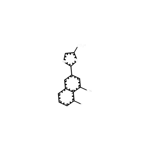 N#Cc1cc(-c2ncc(C(=O)O)s2)cc2cccc(F)c12